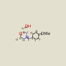 COc1ccc(CN2C[C@@H](CO)O[C@@H](C)C2)cc1